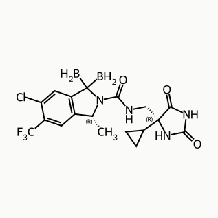 BC1(B)c2cc(Cl)c(C(F)(F)F)cc2[C@@H](C)N1C(=O)NC[C@@]1(C2CC2)NC(=O)NC1=O